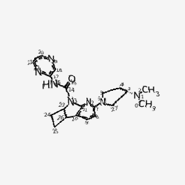 CN(C)[C@H]1CCN(c2ccc3c(n2)N(C(=O)Nc2cnccn2)C2CCC32)C1